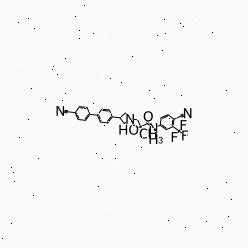 CC(O)(CN1CC(c2ccc(-c3ccc(C#N)cc3)cc2)C1)C(=O)Nc1ccc(C#N)c(C(F)(F)F)c1